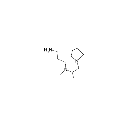 CC(CN1CCCC1)N(C)CCCN